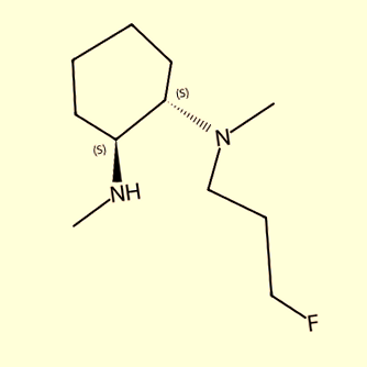 CN[C@H]1CCCC[C@@H]1N(C)CCCF